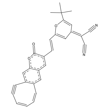 CC(C)(C)C1=CC(=C(C#N)C#N)C=C(/C=C/c2cc3cc4c(cc3oc2=O)C#C/C=C\C=C/4)O1